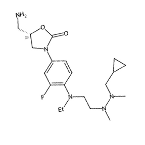 CCN(CCN(C)N(C)CC1CC1)c1ccc(N2C[C@H](CN)OC2=O)cc1F